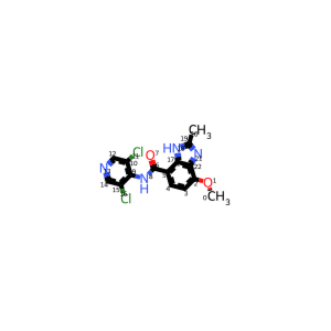 COc1ccc(C(=O)Nc2c(Cl)cncc2Cl)c2[nH]c(C)nc12